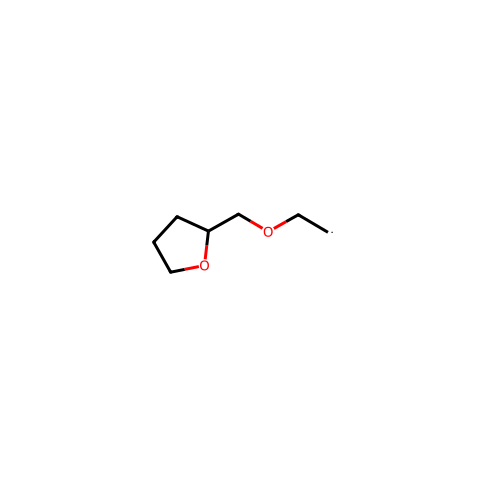 [CH2]COCC1CCCO1